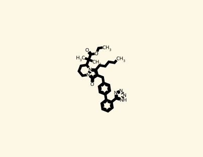 CCCCCc1c(Cc2ccc(-c3ccccc3-c3nnn[nH]3)cc2)c(=O)n2n1C(C(C)(C)C(=O)OCC)CCC2